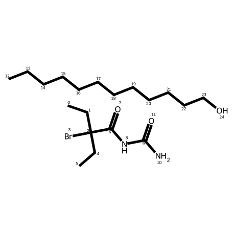 CCC(Br)(CC)C(=O)NC(N)=O.CCCCCCCCCCCCO